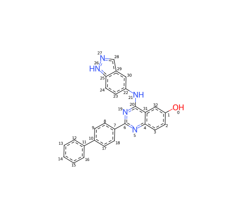 Oc1ccc2nc(-c3ccc(-c4ccccc4)cc3)nc(Nc3ccc4[nH]ncc4c3)c2c1